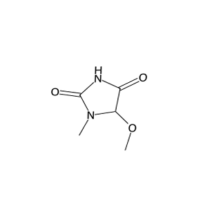 COC1C(=O)NC(=O)N1C